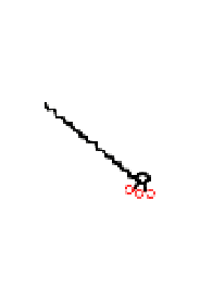 CCCCCCCCCCCCCCCCCCCCCCc1cccc2c1C(=O)OC2=O